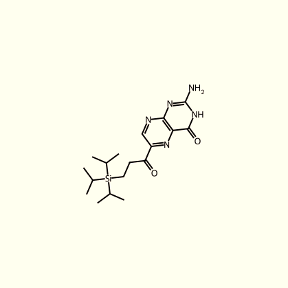 CC(C)[Si](CCC(=O)c1cnc2nc(N)[nH]c(=O)c2n1)(C(C)C)C(C)C